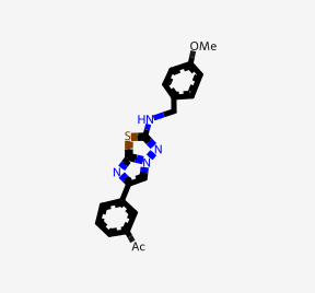 COc1ccc(CNc2nn3cc(-c4cccc(C(C)=O)c4)nc3s2)cc1